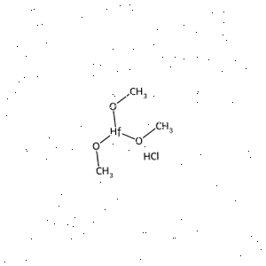 C[O][Hf]([O]C)[O]C.Cl